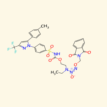 CCN(CCOC(=O)NS(=O)(=O)c1ccc(-n2nc(C(F)(F)F)cc2-c2ccc(C)cc2)cc1)/[N+]([O-])=N\OCN1C(=O)c2ccccc2C1=O